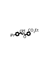 CCOC(=O)c1cccc(C(=O)NCC(=O)c2ccc(C(C)C)cc2)c1